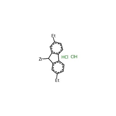 CCc1ccc2c(c1)[CH]([Zr])c1cc(CC)ccc1-2.Cl.Cl